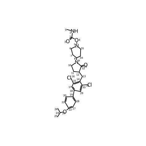 CNC(=O)ON1CCC(N2CCC(Cc3c(Cl)cc(-c4ccc(OC(C)C)cc4)cc3Cl)C2=O)CC1